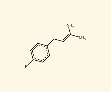 CC(N)=CCc1ccc(F)cc1